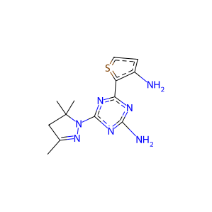 CC1=NN(c2nc(N)nc(-c3sccc3N)n2)C(C)(C)C1